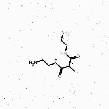 CC(C(=O)NCCN)C(=O)NCCN